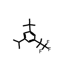 CC(C)c1cc(C(C)(C)C)cc(C(C)(C)C(F)(F)F)c1